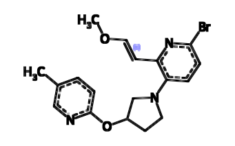 CO/C=C/c1nc(Br)ccc1N1CCC(Oc2ccc(C)cn2)C1